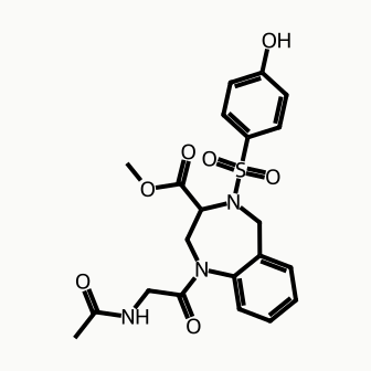 COC(=O)C1CN(C(=O)CNC(C)=O)c2ccccc2CN1S(=O)(=O)c1ccc(O)cc1